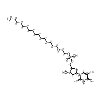 O=c1[nH]c(=O)n(C2CC(O)C(COP(=O)(O)OCCOCCCCCCCCCCCCCCCC(F)(F)F)O2)cc1F